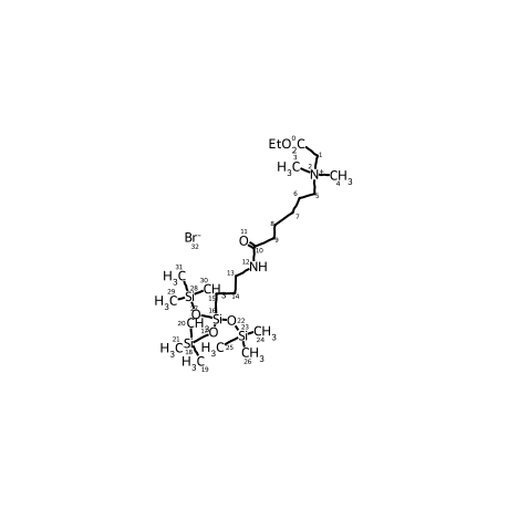 CCOC(=O)C[N+](C)(C)CCCCCC(=O)NCCC[Si](O[Si](C)(C)C)(O[Si](C)(C)C)O[Si](C)(C)C.[Br-]